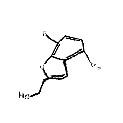 OCc1cc2c(C(F)(F)F)ccc(F)c2o1